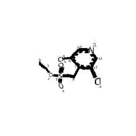 CCOS(=O)(=O)Cc1c(Cl)cncc1Cl